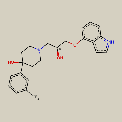 O[C@H](COc1cccc2[nH]ccc12)CN1CCC(O)(c2cccc(C(F)(F)F)c2)CC1